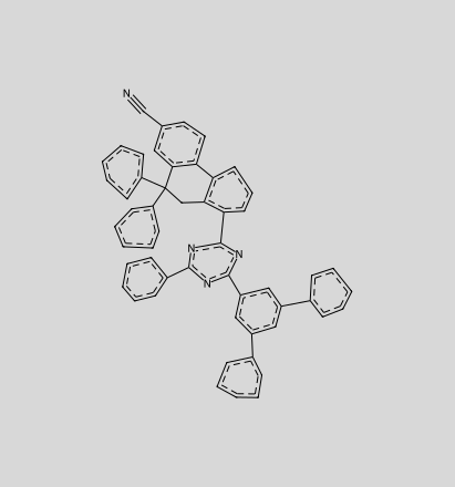 N#Cc1ccc2c(c1)C(c1ccccc1)(c1ccccc1)Cc1c(-c3nc(-c4ccccc4)nc(-c4cc(-c5ccccc5)cc(-c5ccccc5)c4)n3)cccc1-2